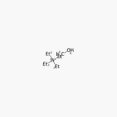 CC[N+](CC)(CC)CC.CO